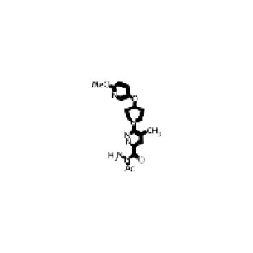 COc1ccc(OC2CCN(c3nnc(C(=O)N(N)C(C)=O)cc3C)CC2)cn1